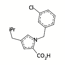 CC(C)Cc1cc(C(=O)O)n(Cc2cccc(Cl)c2)c1